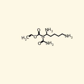 C=COC(=O)N(C(N)=O)C(N)CCCCN